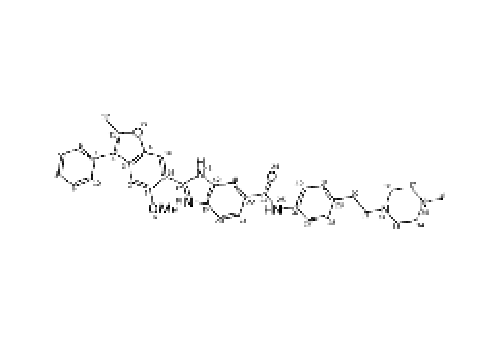 COc1cc2c(-c3ccccc3)c(C)oc2cc1-c1nc2ccc(C(=O)Nc3ccc(CCN4CCN(C)CC4)cc3)cc2[nH]1